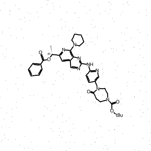 C[C@@H](OC(=O)c1ccccc1)c1cc2cnc(Nc3ccc(N4CCN(C(=O)OC(C)(C)C)CCC4=O)cn3)nc2c(N2CCCCC2)n1